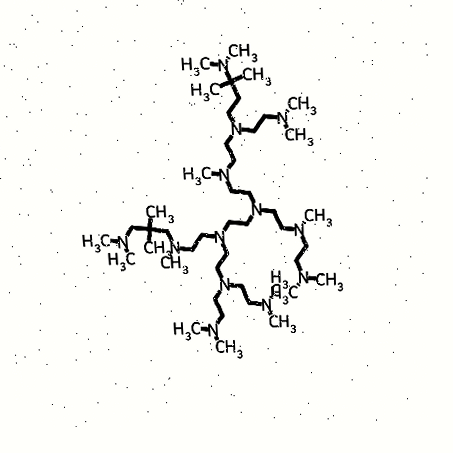 CN(C)CCN(C)CCN(CCN(C)CCN(CCN(C)C)CCC(C)(C)N(C)C)CCN(CCN(C)CC(C)(C)CN(C)C)CCN(CCN(C)C)CCN(C)C